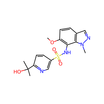 COc1ccc2cnn(C)c2c1NS(=O)(=O)c1ccc(C(C)(C)O)nc1